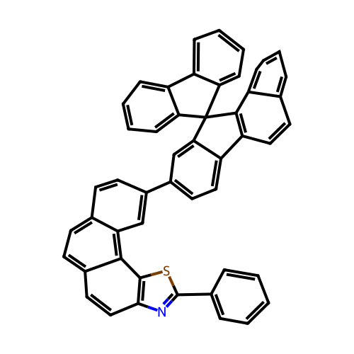 c1ccc(-c2nc3ccc4ccc5ccc(-c6ccc7c(c6)C6(c8ccccc8-c8ccccc86)c6c-7ccc7ccccc67)cc5c4c3s2)cc1